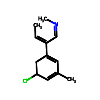 C/C=C(\C=N/C)C1=CC(C)=CC(Cl)C1